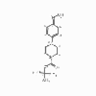 CC(C)(C)OC(=O)N1CCN(C2=CCC(=NO)C=C2)CC1